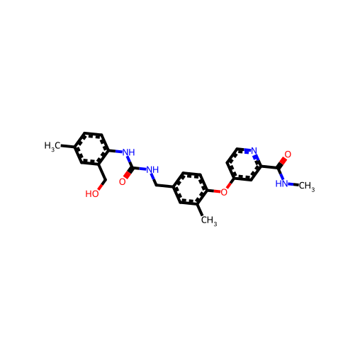 CNC(=O)c1cc(Oc2ccc(CNC(=O)Nc3ccc(C)cc3CO)cc2C)ccn1